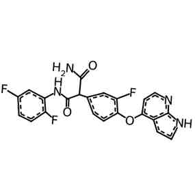 NC(=O)C(C(=O)Nc1cc(F)ccc1F)c1ccc(Oc2ccnc3[nH]ccc23)c(F)c1